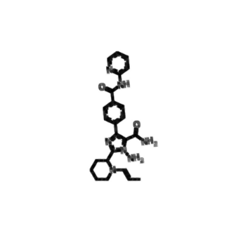 CC=CN1CCCCC1c1nc(-c2ccc(C(=O)Nc3ccccn3)cc2)c(C(N)=O)n1N